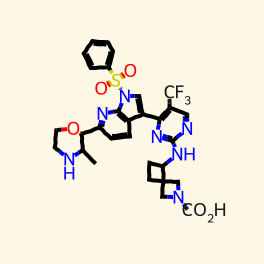 CC1NCCOC1c1ccc2c(-c3nc(NC4CCC45CN(C(=O)O)C5)ncc3C(F)(F)F)cn(S(=O)(=O)c3ccccc3)c2n1